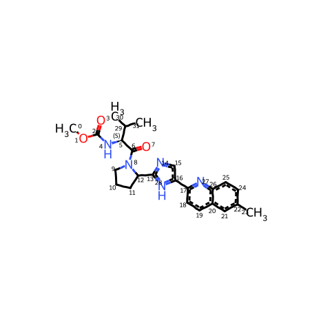 COC(=O)N[C@H](C(=O)N1CCCC1c1ncc(-c2ccc3cc(C)ccc3n2)[nH]1)C(C)C